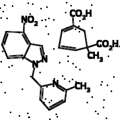 CC1(C(=O)O)C=CC=C(C(=O)O)C1.Cc1cccc(Cn2ncc3c([N+](=O)[O-])cccc32)n1